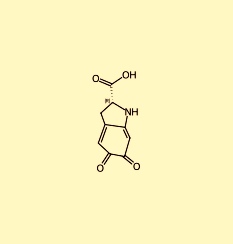 O=C1C=C2C[C@H](C(=O)O)NC2=CC1=O